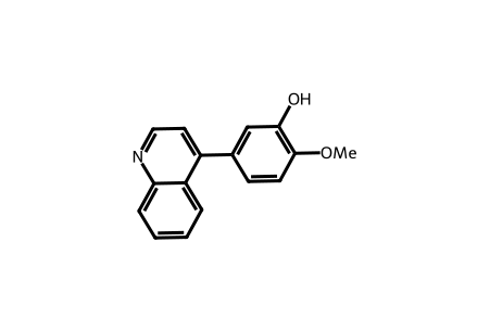 COc1ccc(-c2ccnc3ccccc23)cc1O